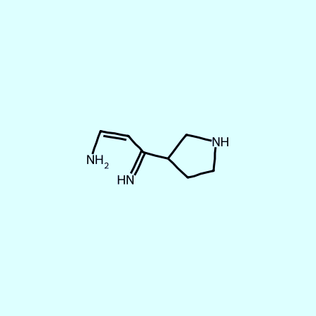 N=C(/C=C\N)C1CCNC1